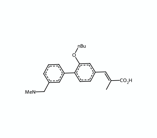 CCCCOc1cc(C=C(C)C(=O)O)ccc1-c1cccc(CNC)c1